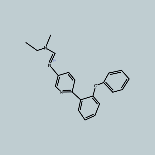 CCN(C)/C=N/c1ccc(-c2ccccc2Oc2ccccc2)nc1